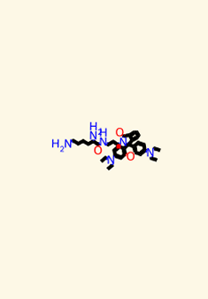 CCN(CC)c1ccc2c(c1)Oc1cc(N(CC)CC)ccc1C21c2ccccc2C(=O)N1CCCNC(=O)C(N)CCCCN